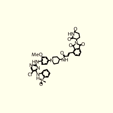 COc1cc(N2CCC(NC(=O)C=Cc3cccc4c3C(=O)N(C3CCC(=O)NC3=O)C4=O)CC2)ccc1Nc1ncc(Cl)c(Nc2ccccc2P(C)(C)=O)n1